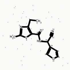 CCc1nc(C)sc1C(=O)NC(C#N)c1ccoc1